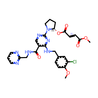 COC(=O)/C=C/C(=O)O[C@H]1CCCN1c1ncc(C(=O)NCc2ncccn2)c(NCc2ccc(OC)c(Cl)c2)n1